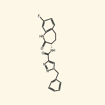 O=C(N[C@H]1CCc2ccc(F)cc2NC1=O)c1cn(Cc2ccccc2)nn1